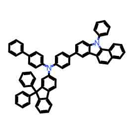 c1ccc(-c2ccc(N(c3ccc(-c4ccc5c(c4)c4ccc6ccccc6c4n5-c4ccccc4)cc3)c3ccc4c(c3)C(c3ccccc3)(c3ccccc3)c3ccccc3-4)cc2)cc1